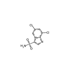 NS(=O)(=O)c1cnc2c(Cl)cc(Cl)cn12